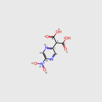 O=C(O)C(C(=O)O)c1cnc([N+](=O)[O-])cn1